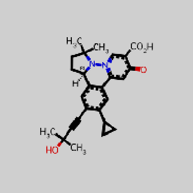 CC(C)(O)C#Cc1cc2c(cc1C1CC1)-c1cc(=O)c(C(=O)O)cn1N1[C@@H]2CCC1(C)C